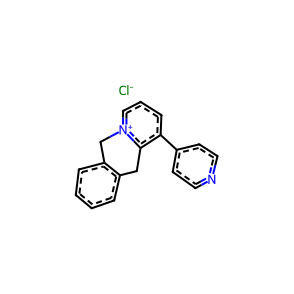 [Cl-].c1ccc2c(c1)Cc1c(-c3ccncc3)ccc[n+]1C2